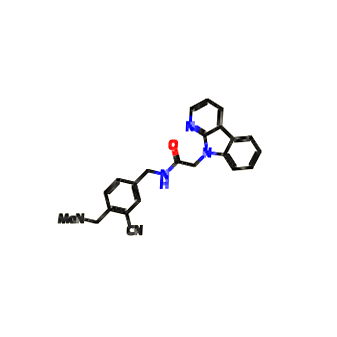 CNCc1ccc(CNC(=O)Cn2c3ccccc3c3cccnc32)cc1C#N